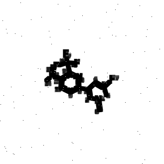 C=N/C=C(\C=C(/C)F)c1ccc(N(C)C)c(C(F)(F)F)n1